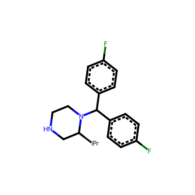 CC(C)C1CNCCN1C(c1ccc(F)cc1)c1ccc(F)cc1